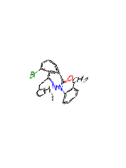 CCc1nn(-c2ccccc2C)c(=O)c2cccc(Br)c12